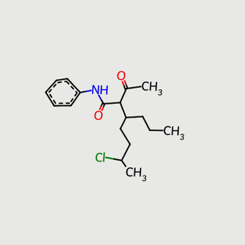 CCCC(CCC(C)Cl)C(C(C)=O)C(=O)Nc1ccccc1